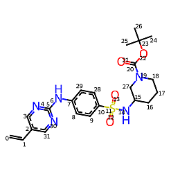 C=Cc1cnc(Nc2ccc(S(=O)(=O)NC3CCCN(C(=O)OC(C)(C)C)C3)cc2)nc1